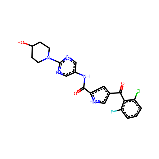 O=C(Nc1cnc(N2CCC(O)CC2)nc1)c1cc(C(=O)c2c(F)cccc2Cl)c[nH]1